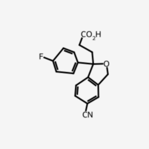 N#Cc1ccc2c(c1)COC2(CCC(=O)O)c1ccc(F)cc1